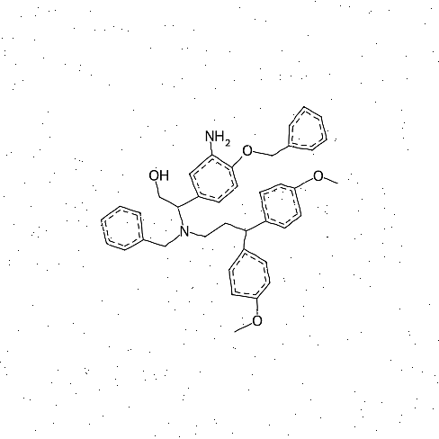 COc1ccc(C(CCN(Cc2ccccc2)C(CO)c2ccc(OCc3ccccc3)c(N)c2)c2ccc(OC)cc2)cc1